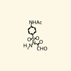 CC(=O)Nc1ccc(S(=O)(=O)N(N)C(=O)C=O)cc1